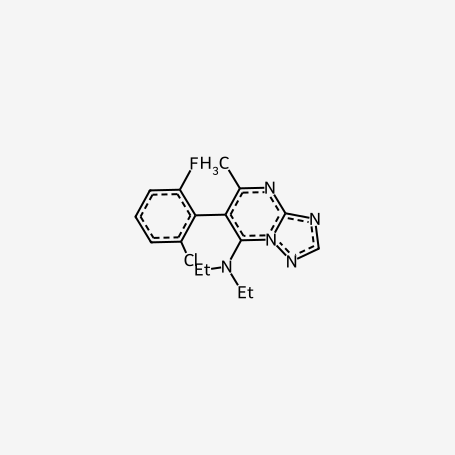 CCN(CC)c1c(-c2c(F)cccc2Cl)c(C)nc2ncnn12